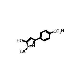 CC(C)(C)n1nc(-c2ccc(C(=O)O)cc2)cc1O